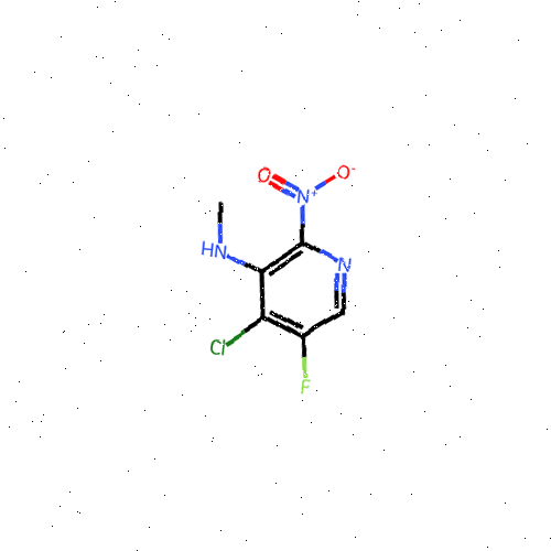 CNc1c([N+](=O)[O-])ncc(F)c1Cl